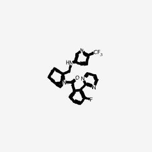 O=C(c1cccc(F)c1-c1ncccn1)N1CC2CCC1(CNc1ccc(C(F)(F)F)nc1)C2